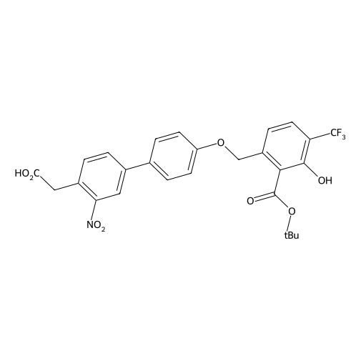 CC(C)(C)OC(=O)c1c(COc2ccc(-c3ccc(CC(=O)O)c([N+](=O)[O-])c3)cc2)ccc(C(F)(F)F)c1O